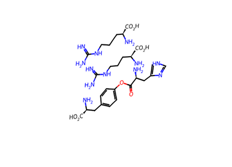 N=C(N)NCCC[C@H](N)C(=O)O.N=C(N)NCCC[C@H](N)C(=O)O.N[C@@H](Cc1ccc(OC(=O)[C@@H](N)Cc2c[nH]cn2)cc1)C(=O)O